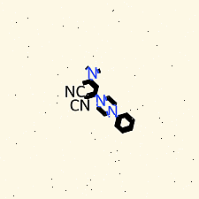 CC(=CC(=C(C#N)C#N)N1CCN(c2ccccc2)CC1)N(C)C